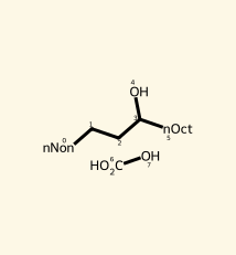 CCCCCCCCCCCC(O)CCCCCCCC.O=C(O)O